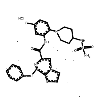 Cl.NS(=O)(=O)NC1CCN(c2ccc(F)cc2NC(=O)c2cn3ccnc3c(Oc3ccccc3)n2)CC1